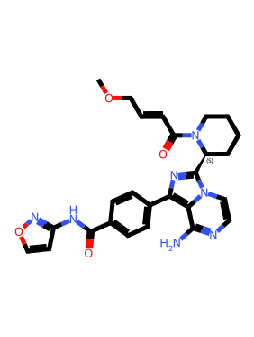 COCC=CC(=O)N1CCCC[C@H]1c1nc(-c2ccc(C(=O)Nc3ccon3)cc2)c2c(N)nccn12